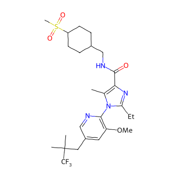 CCc1nc(C(=O)NCC2CCC(S(C)(=O)=O)CC2)c(C)n1-c1ncc(CC(C)(C)C(F)(F)F)cc1OC